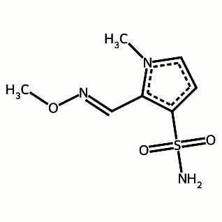 CO/N=C/c1c(S(N)(=O)=O)ccn1C